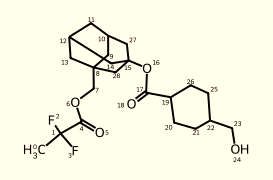 CC(F)(F)C(=O)OCC12CC3CC(C1)CC(OC(=O)C1CCC(CO)CC1)(C3)C2